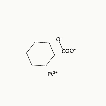 C1CCCCC1.O=C([O-])[O-].[Pt+2]